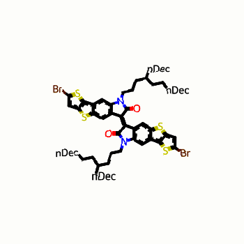 CCCCCCCCCCCCC(CCCCCCCCCC)CCCN1C(=O)/C(=C2/C(=O)N(CCCC(CCCCCCCCCC)CCCCCCCCCCCC)c3cc4c(cc32)sc2cc(Br)sc24)c2cc3sc4cc(Br)sc4c3cc21